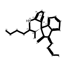 C=C1/C(=C\C=C/C)c2ccccc2[C@]12c1ccccc1NC(CCCC)C2C